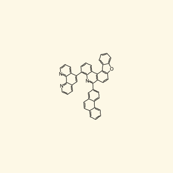 c1ccc2c(c1)ccc1cc(-c3nc4c(-c5cc6cccnc6c6ncccc56)cccc4c4c3ccc3oc5ccccc5c34)ccc12